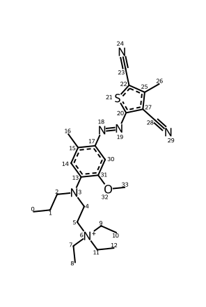 CCCN(CC[N+](CC)(CC)CC)c1cc(C)c(/N=N/c2sc(C#N)c(C)c2C#N)cc1OC